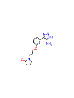 Nc1[nH]nnc1-c1cccc(OCCCN2CCCC2=O)c1